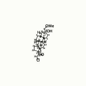 COC[C@@]1(O)CC[C@@]2(C)[C@@H](CC[C@@H]3[C@@H]2CC[C@]2(C)[C@@H](C(=O)CCl)CC[C@@H]32)C1